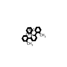 Cc1cccc(C)c1C1=CC=CC(c2c(C)cccc2C)P1c1ccccc1